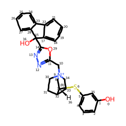 Oc1cccc(S[C@H]2C[N+]3(Cc4nnc(C5(O)c6ccccc6-c6ccccc65)o4)CCC2CC3)c1